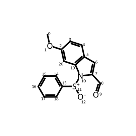 COc1ccc2cc(C=O)n([S+]([O-])c3ccccc3)c2c1